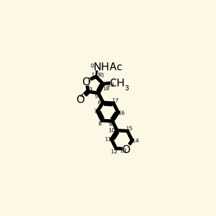 CC(=O)N[C@@H]1OC(=O)C(c2ccc(C3=CCOCC3)cc2)=C1C